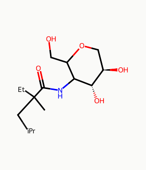 CCC(C)(CC(C)C)C(=O)NC1C(CO)OC[C@@H](O)[C@@H]1O